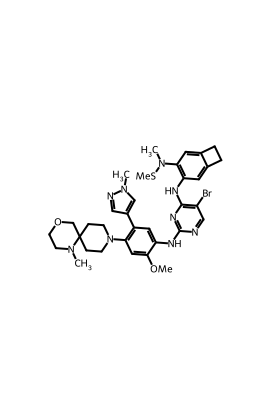 COc1cc(N2CCC3(CC2)COCCN3C)c(-c2cnn(C)c2)cc1Nc1ncc(Br)c(Nc2cc3c(cc2N(C)SC)CC3)n1